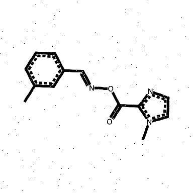 Cc1cccc(C=NOC(=O)c2nccn2C)c1